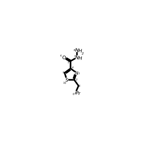 CC(C)Cc1nc(C(=O)NN)cs1